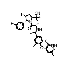 Cc1cc(Oc2ccc(C(=O)N[C@H](C)C(=O)N3C(C(C)(C)C#N)C[C@H](F)[C@H]3c3cccc(F)c3)cc2C)c(=O)[nH]n1